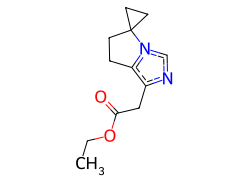 CCOC(=O)Cc1ncn2c1CCC21CC1